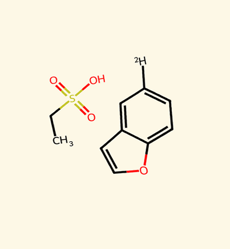 CCS(=O)(=O)O.[2H]c1ccc2occc2c1